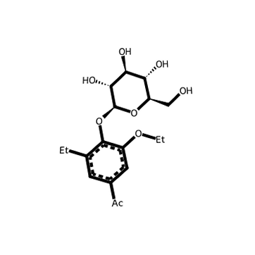 CCOc1cc(C(C)=O)cc(CC)c1O[C@@H]1O[C@H](CO)[C@@H](O)[C@H](O)[C@H]1O